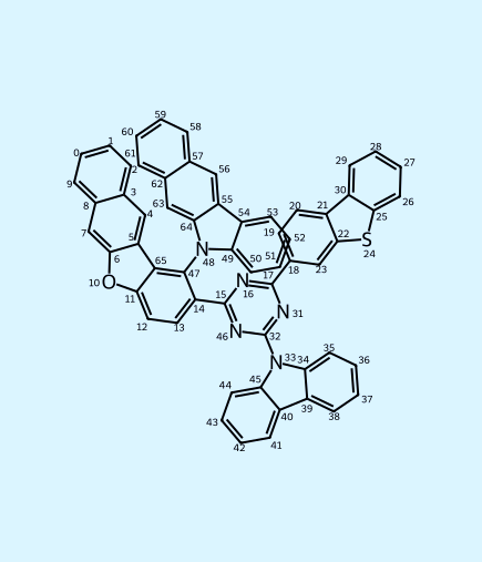 c1ccc2cc3c(cc2c1)oc1ccc(-c2nc(-c4ccc5c(c4)sc4ccccc45)nc(-n4c5ccccc5c5ccccc54)n2)c(-n2c4ccccc4c4cc5ccccc5cc42)c13